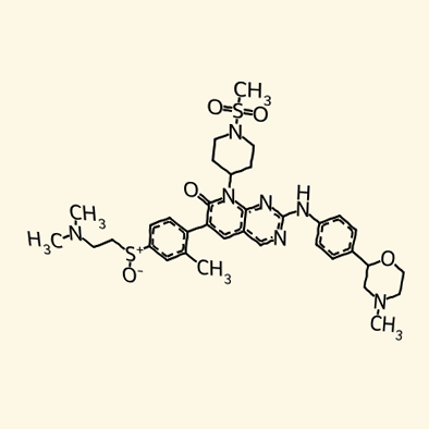 Cc1cc([S+]([O-])CCN(C)C)ccc1-c1cc2cnc(Nc3ccc(C4CN(C)CCO4)cc3)nc2n(C2CCN(S(C)(=O)=O)CC2)c1=O